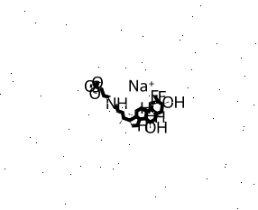 C[C@H](CCCNCCCS(=O)(=O)[O-])[C@H]1CC[C@H]2[C@@H]3[C@@H](O)C[C@@H]4C[C@@H](O)C(F)(F)C[C@]4(C)[C@H]3CC[C@]12C.[Na+]